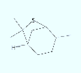 C[C@@H]1CC[C@@H]2CC1SC2(C)C